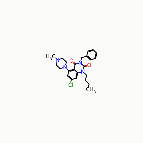 CCCCn1c(=O)n(Cc2ccccc2)c(=O)c2c(N3CCN(C)CC3)cc(Cl)cc21